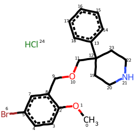 COc1ccc(Br)cc1COCC1(c2ccccc2)CCNCC1.Cl